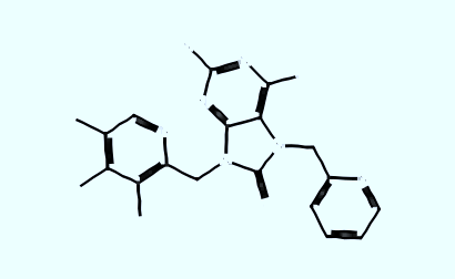 Cc1cnc(Cn2c(=O)n(Cc3ccccn3)c3c(Cl)nc(N)nc32)c(C)c1C